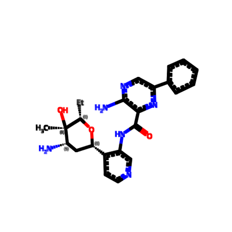 CC[C@@H]1O[C@H](c2ccncc2NC(=O)c2nc(-c3ccccc3)cnc2N)C[C@H](N)[C@@]1(C)O